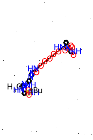 Cc1cnc(Nc2ccc(N3CCN(CC(=O)NCCOCCOCCOCCOCCOCCNC4C(=O)N(C5CCC(=O)NC5=O)C(=O)c5ccccc54)CC3)cc2)nc1Nc1cccc(S(=O)(=O)NC(C)(C)C)c1